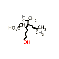 C=C(C)C(=CCCCCO)CC=C(C)C.CC(=O)O